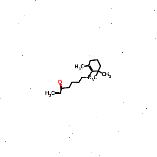 C=CC(=O)CCCCCC1=C(C)CCCC1(C)C